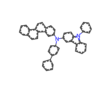 c1ccc(-c2ccc(N(c3ccc4ccc5c6ccccc6ccc5c4c3)c3ccc4c(c3)c3ccccc3n4-c3ccccc3)cc2)cc1